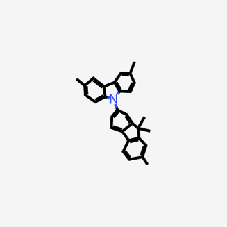 Cc1ccc2c(c1)C(C)(C)c1cc(-n3c4ccc(C)cc4c4cc(C)ccc43)ccc1-2